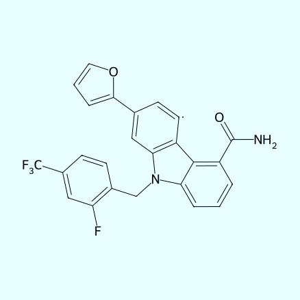 NC(=O)c1cccc2c1c1[c]cc(-c3ccco3)cc1n2Cc1ccc(C(F)(F)F)cc1F